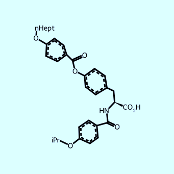 CCCCCCCOc1ccc(C(=O)Oc2ccc(C[C@H](NC(=O)c3ccc(OC(C)C)cc3)C(=O)O)cc2)cc1